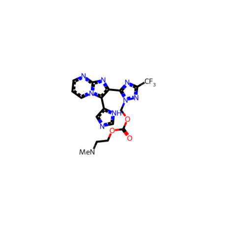 CNCCOC(=O)OCn1nc(C(F)(F)F)nc1-c1nc2ncccn2c1-c1cnc[nH]1